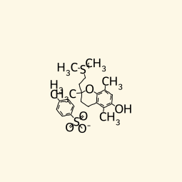 Cc1cc(O)c(C)c2c1OC(C)(CC[S+](C)C)CC2.Cc1ccc(S(=O)(=O)[O-])cc1